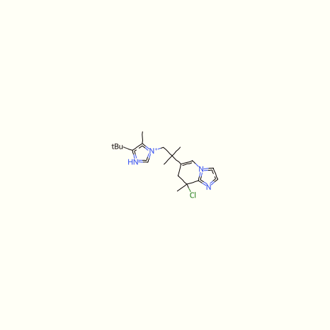 Cc1c(C(C)(C)C)[nH]c[n+]1CC(C)(C)C1=Cn2ccnc2C(C)(Cl)C1